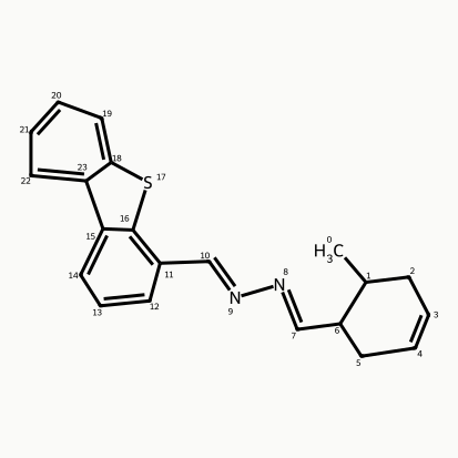 CC1CC=CCC1/C=N/N=C/c1cccc2c1sc1ccccc12